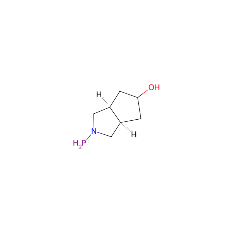 OC1C[C@@H]2CN(P)C[C@@H]2C1